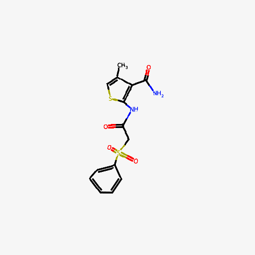 Cc1csc(NC(=O)CS(=O)(=O)c2ccccc2)c1C(N)=O